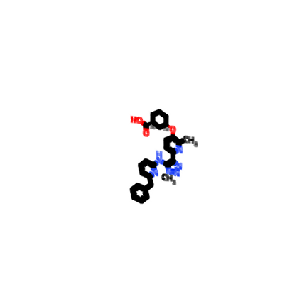 Cc1nc(-c2nnn(C)c2Nc2cccc(Cc3ccccc3)n2)ccc1O[C@H]1CCC[C@H](C(=O)O)C1